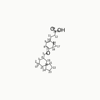 CC1(C)CC(COC2=CC=C(CCC(=O)O)I3CC23)CC2(CCCC2)C1